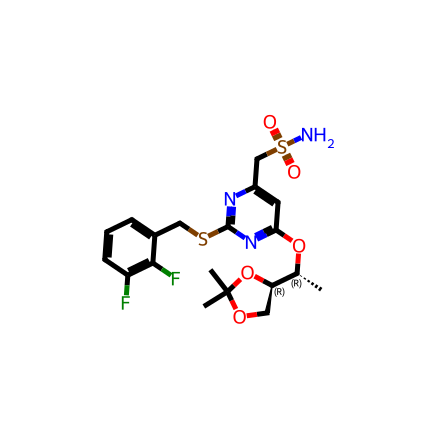 C[C@@H](Oc1cc(CS(N)(=O)=O)nc(SCc2cccc(F)c2F)n1)[C@H]1COC(C)(C)O1